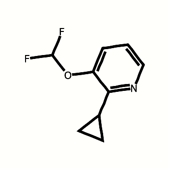 FC(F)Oc1cccnc1C1CC1